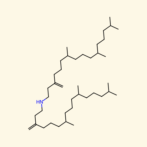 C=C(CCCC(C)CCCC(C)CCCC(C)C)CCNCCC(=C)CCCC(C)CCCC(C)CCCC(C)C